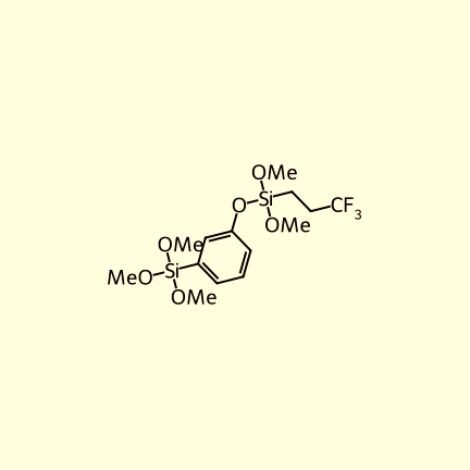 CO[Si](CCC(F)(F)F)(OC)Oc1cccc([Si](OC)(OC)OC)c1